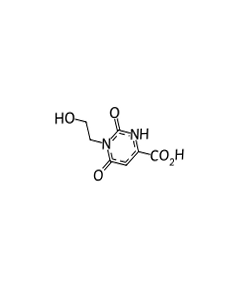 O=C(O)c1cc(=O)n(CCO)c(=O)[nH]1